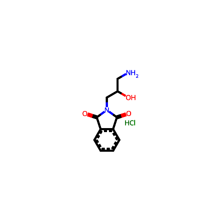 Cl.NCC(O)CN1C(=O)c2ccccc2C1=O